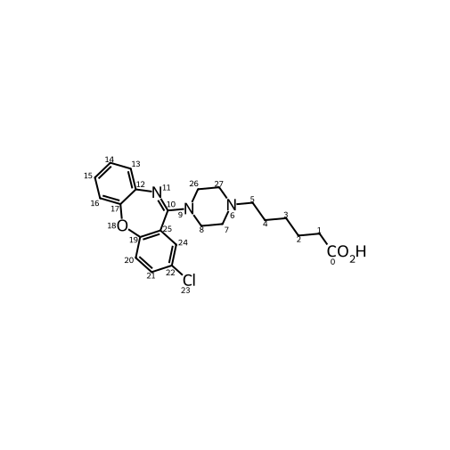 O=C(O)CCCCCN1CCN(C2=Nc3ccccc3Oc3ccc(Cl)cc32)CC1